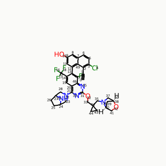 C#Cc1c(Cl)ccc2cc(O)cc(-c3c(C(F)(F)F)cc4c(N5CC6CCC(C5)N6)nc(OCC5(CN6C[C@@H]7C[C@H]6CO7)CC5)nc4c3F)c12